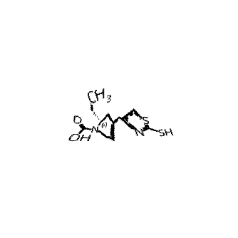 CC[C@@H]1CC(c2csc(S)n2)=CCN1C(=O)O